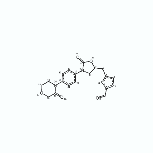 O=[C]c1ccc(C[C@H]2CN(c3ccc(N4CCOCC4=O)cc3)C(=O)O2)s1